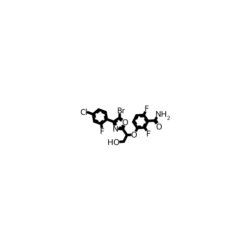 NC(=O)c1c(F)ccc(OC(CO)c2nc(-c3ccc(Cl)cc3F)c(Br)o2)c1F